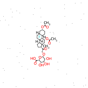 CC(=O)O[C@@H]1CC[C@H]2[C@H](CC[C@H]3[C@@H]4CC[C@H](C(=O)COC5O[C@H](C(=O)O)[C@@H](O)[C@H](O)[C@H]5O)[C@@]4(C)C[C@@H](OC(C)=O)[C@]23F)C1